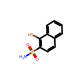 NS(=O)(=O)c1ccc2ccccc2c1S